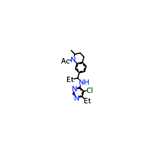 CCc1ncnc(NC(CC)c2ccc3c(c2)N(C(C)=O)C(C)CC3)c1Cl